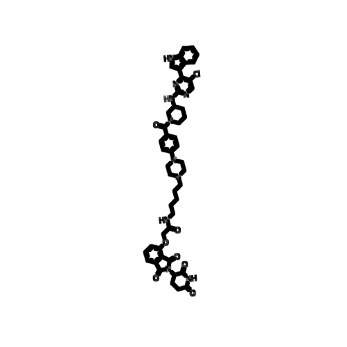 O=C(COc1cccc2c1C(=O)N(C1CCC(=O)NC1=O)C2=O)NCCCCCN1CCN(c2ccc(C(=O)N3CCCC(Nc4ncc(Cl)c(-c5c[nH]c6ccccc56)n4)C3)cc2)CC1